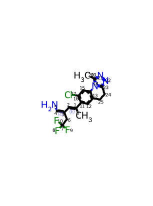 C/C(=C\C(=C/N)CC(F)(F)F)c1cc2c(cc1Cl)-n1c(C)nnc1CC2